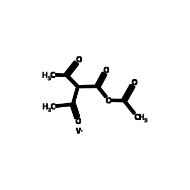 CC(=O)OC(=O)C(C(C)=O)C(C)=O.[V]